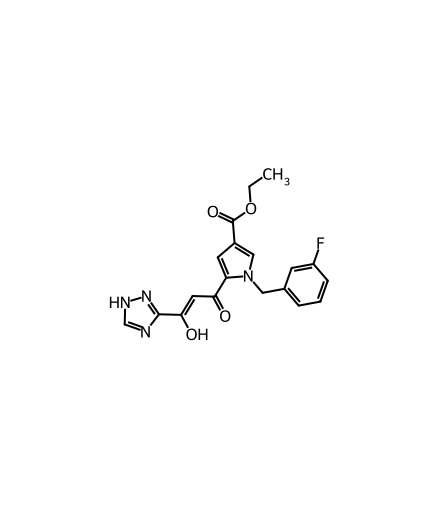 CCOC(=O)c1cc(C(=O)C=C(O)c2nc[nH]n2)n(Cc2cccc(F)c2)c1